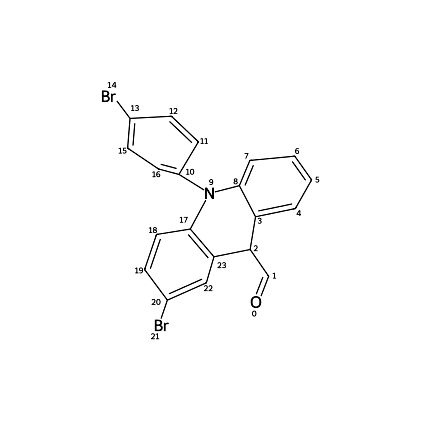 O=CC1c2ccccc2N(c2ccc(Br)cc2)c2ccc(Br)cc21